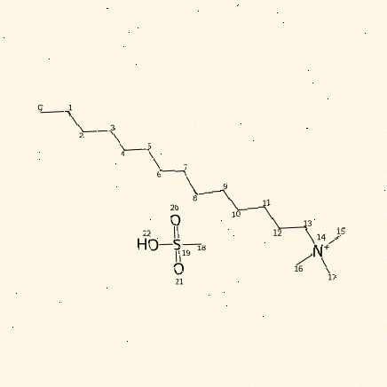 CCCCCCCCCCCCCC[N+](C)(C)C.CS(=O)(=O)O